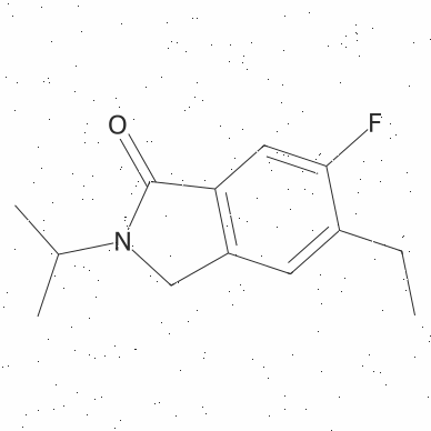 CCc1cc2c(cc1F)C(=O)N(C(C)C)C2